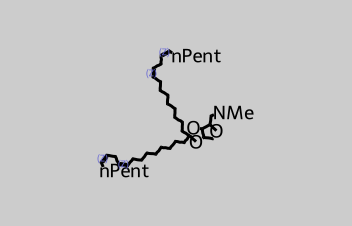 CCCCC/C=C\C/C=C\CCCCCCCCC1(CCCCCCCC/C=C\C/C=C\CCCCC)OC2COC(CNC)C2O1